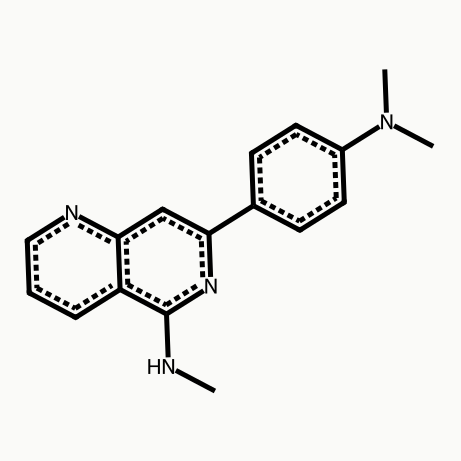 CNc1nc(-c2ccc(N(C)C)cc2)cc2ncccc12